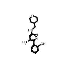 Cc1cc(NCC2CCOCC2)nnc1-c1ccccc1O